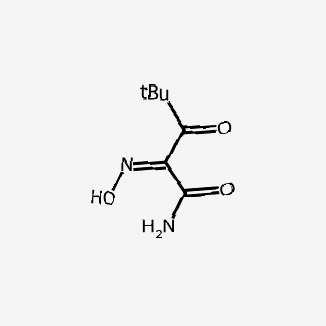 CC(C)(C)C(=O)C(=NO)C(N)=O